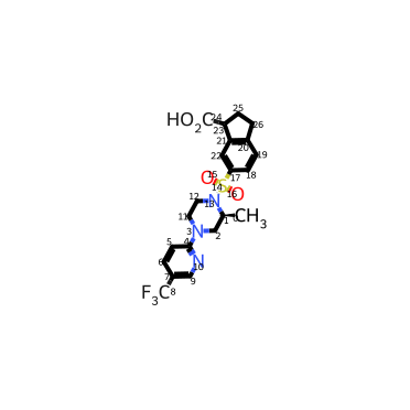 C[C@H]1CN(c2ccc(C(F)(F)F)cn2)CCN1S(=O)(=O)c1ccc2c(c1)C(C(=O)O)CC2